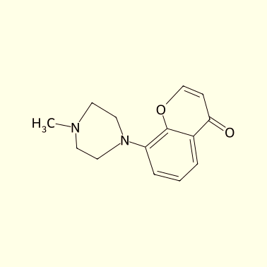 CN1CCN(c2cccc3c(=O)ccoc23)CC1